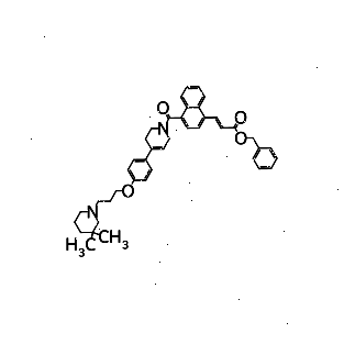 CC1(C)CCCN(CCCOc2ccc(C3=CCN(C(=O)c4ccc(C=CC(=O)OCc5ccccc5)c5ccccc45)CC3)cc2)C1